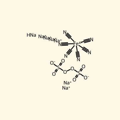 N#[C][Fe-4]([C]#N)([C]#N)([C]#N)([C]#N)[C]#N.O=S(=O)([O-])OOS(=O)(=O)[O-].[Na+].[Na+].[Na+].[Na+].[Na+].[Na+].[NaH]